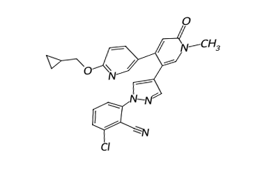 Cn1cc(-c2cnn(-c3cccc(Cl)c3C#N)c2)c(-c2ccc(OCC3CC3)nc2)cc1=O